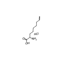 C=CCCCCCC(N)C(=O)O.Cl